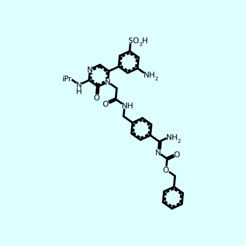 CC(C)Nc1ncc(-c2cc(N)cc(S(=O)(=O)O)c2)n(CC(=O)NCc2ccc(/C(N)=N/C(=O)OCc3ccccc3)cc2)c1=O